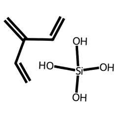 C=CC(=C)C=C.O[Si](O)(O)O